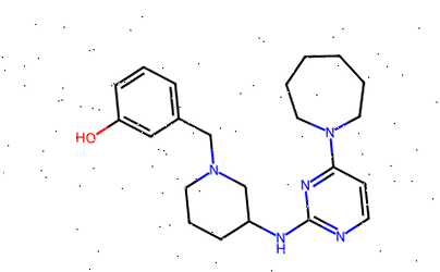 Oc1cccc(CN2CCCC(Nc3nccc(N4CCCCCC4)n3)C2)c1